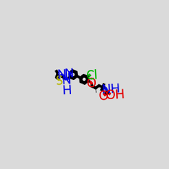 Cc1csc(Nc2cc(-c3ccc(OC[C@@H](C)CC(C)(C)NC(=O)O)c(Cl)c3)ccn2)n1